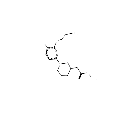 CCCSc1nc(N2CCCC(CC(=O)OC)C2)ccc1C